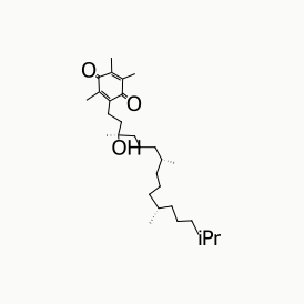 CC1=C(C)C(=O)C(CC[C@](C)(O)CCC[C@H](C)CCC[C@@H](C)CCCC(C)C)=C(C)C1=O